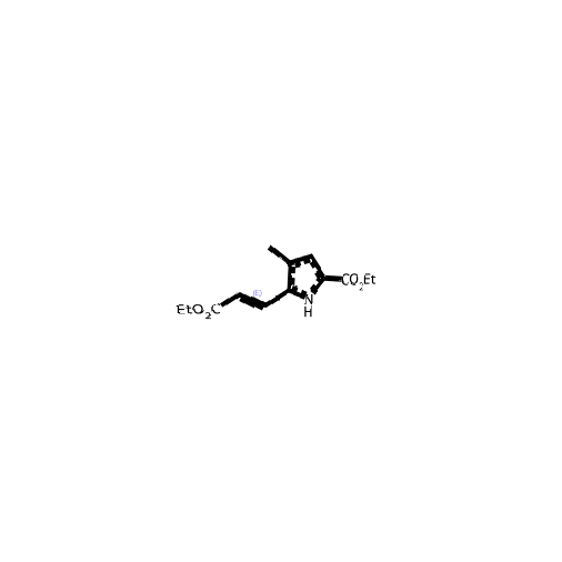 CCOC(=O)/C=C/c1[nH]c(C(=O)OCC)cc1C